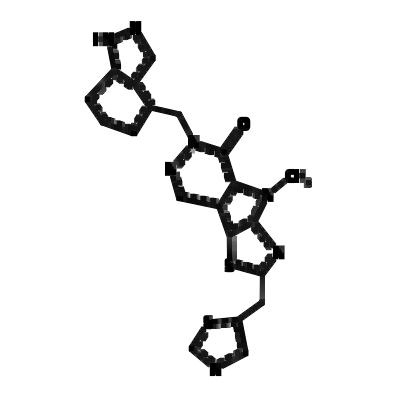 Cn1c2nc(Cc3cncs3)sc2c2cnn(Cc3cccc4[nH]ncc34)c(=O)c21